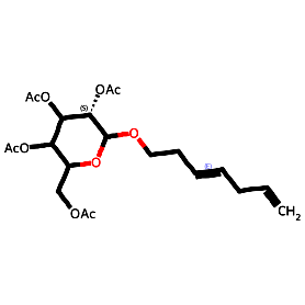 C=CC/C=C/CCOC1OC(COC(C)=O)C(OC(C)=O)C(OC(C)=O)[C@@H]1OC(C)=O